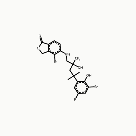 CC(C)(CC(O)(CNc1ccc2c(c1Br)COC2=O)C(F)(F)F)c1cc(F)cc(Br)c1O